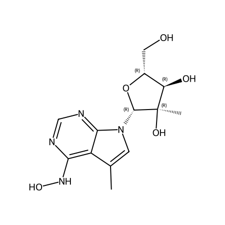 Cc1cn([C@@H]2O[C@H](CO)[C@@H](O)[C@@]2(C)O)c2ncnc(NO)c12